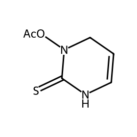 CC(=O)ON1CC=CNC1=S